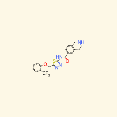 O=C(Nc1nnc(COc2ccccc2C(F)(F)F)s1)c1ccc2c(c1)CCNC2